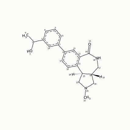 CC(O)c1cccc(-c2ccc3c(c2)C(=O)NC[C@@H]2CN(C)C[C@@H]32)c1